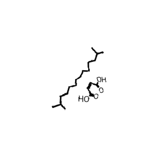 CC(C)CCCCCCCCCCC(C)C.O=C(O)/C=C\C(=O)O